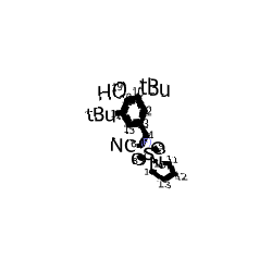 CC(C)(C)c1cc(/C=C(\C#N)S(=O)(=O)N2CCCC2)cc(C(C)(C)C)c1O